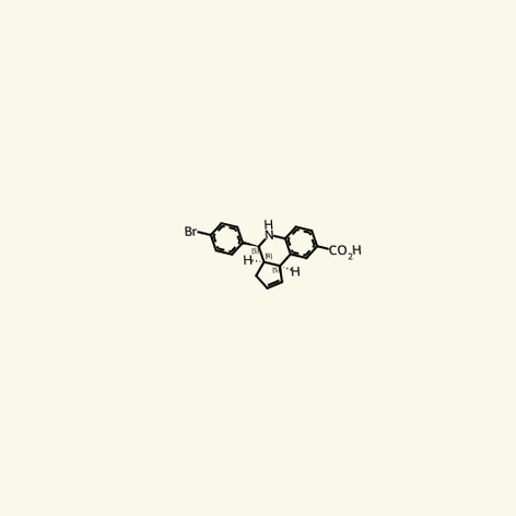 O=C(O)c1ccc2c(c1)[C@H]1C=CC[C@H]1[C@@H](c1ccc(Br)cc1)N2